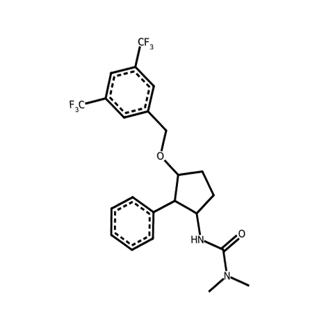 CN(C)C(=O)NC1CCC(OCc2cc(C(F)(F)F)cc(C(F)(F)F)c2)C1c1ccccc1